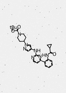 CC(C)(C)OC(=O)N1CCC(n2cc(Nc3nccc(-c4ccccc4NC(=O)C4CC4)n3)cn2)CC1